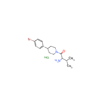 CC(C)C(N)C(=O)N1CCC(c2ccc(Br)cc2)CC1.Cl